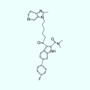 Cc1nc2ccncc2n1CCCCCC(=O)c1c(C(=O)N(C)C)[nH]c2cc(-c3ccc(F)cc3)ccc12